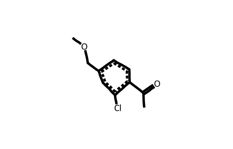 COCc1ccc(C(C)=O)c(Cl)c1